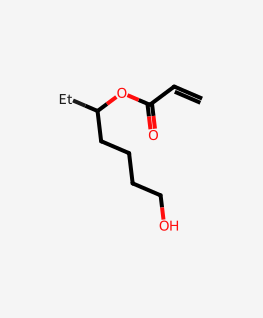 C=CC(=O)OC(CC)CCCCO